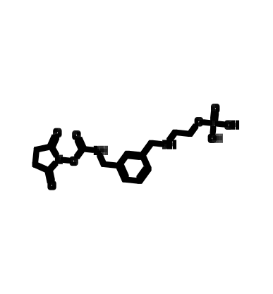 O=C(NCc1cccc(CNCCOP(=O)(O)O)c1)ON1C(=O)CCC1=O